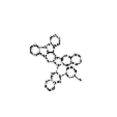 N#Cc1cccc(-c2nc3ccccc3nc2-n2c3cc4ccccc4cc3c3c4c5ccccc5n5c6ccccc6c(cc32)c45)c1